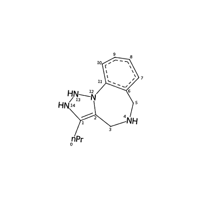 CCCC1=C2CNCc3ccccc3N2NN1